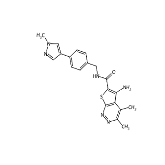 Cc1nnc2sc(C(=O)NCc3ccc(-c4cnn(C)c4)cc3)c(N)c2c1C